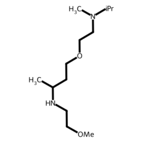 COCCNC(C)CCOCCN(C)C(C)C